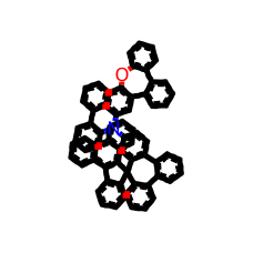 c1ccc(-c2ccccc2N(c2ccc3c(c2)-c2ccccc2-c2ccccc2O3)c2ccc3c(c2)C2(c4ccccc4-c4ccccc4-3)c3ccccc3-c3c2c2ccccc2c2ccccc32)cc1